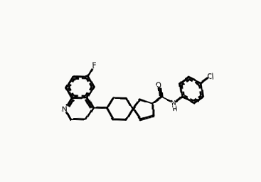 O=C(Nc1ccc(Cl)cc1)C1CCC2(CCC(C3=c4cc(F)ccc4=NCC3)CC2)C1